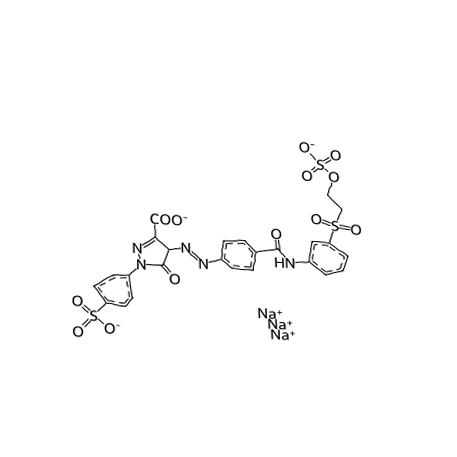 O=C([O-])C1=NN(c2ccc(S(=O)(=O)[O-])cc2)C(=O)C1N=Nc1ccc(C(=O)Nc2cccc(S(=O)(=O)CCOS(=O)(=O)[O-])c2)cc1.[Na+].[Na+].[Na+]